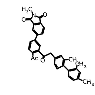 CC(=O)c1ccc(-c2ccc3c(c2)C(=O)N(C)C3=O)cc1C(=O)Cc1ccc(-c2ccc(C)cc2C)c(C)c1